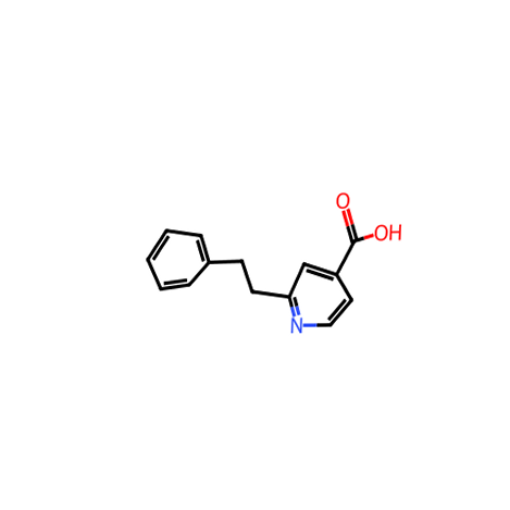 O=C(O)c1ccnc(CCc2ccccc2)c1